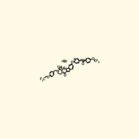 Br.CC1CN(C(=O)c2cc3ccc(Oc4ccc(NC(=O)c5ccc(OC(F)(F)F)cc5)cn4)cc3n2C)CCN1Cc1ccc(OCC(F)(F)F)cc1